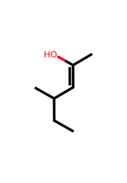 CCC(C)C=C(C)O